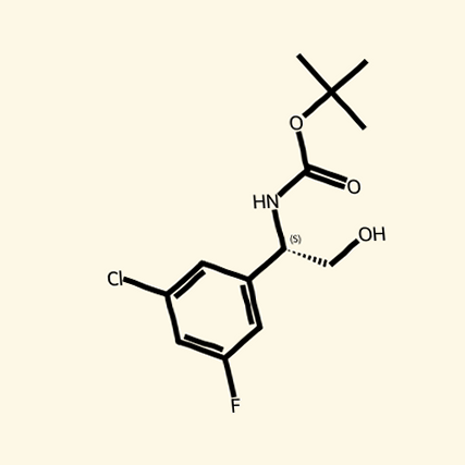 CC(C)(C)OC(=O)N[C@H](CO)c1cc(F)cc(Cl)c1